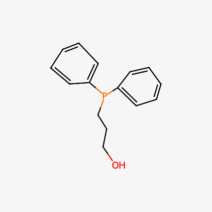 OCCCP(c1ccccc1)c1ccccc1